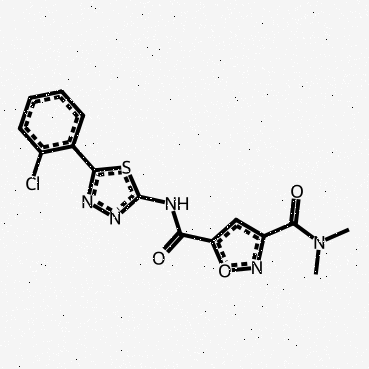 CN(C)C(=O)c1cc(C(=O)Nc2nnc(-c3ccccc3Cl)s2)on1